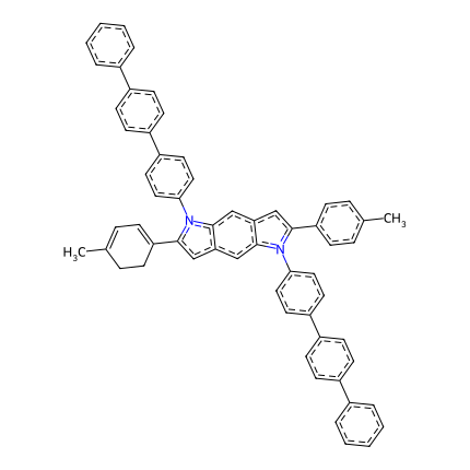 CC1=CC=C(c2cc3cc4c(cc(-c5ccc(C)cc5)n4-c4ccc(-c5ccc(-c6ccccc6)cc5)cc4)cc3n2-c2ccc(-c3ccc(-c4ccccc4)cc3)cc2)CC1